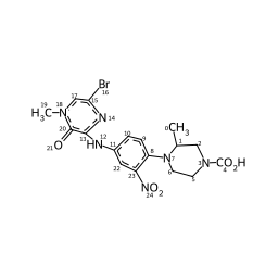 CC1CN(C(=O)O)CCN1c1ccc(Nc2nc(Br)cn(C)c2=O)cc1[N+](=O)[O-]